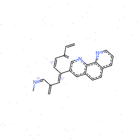 C=CC(=C)/C=C\C(=C/C(=C)/C=N\C)c1cnc2c(ccc3cccnc32)c1